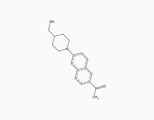 CC(=O)c1ccc2cc(N3CCC(CO)CC3)ccc2c1